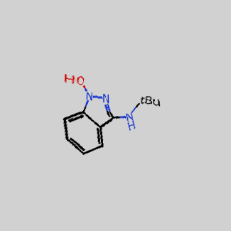 CC(C)(C)Nc1nn(O)c2ccccc12